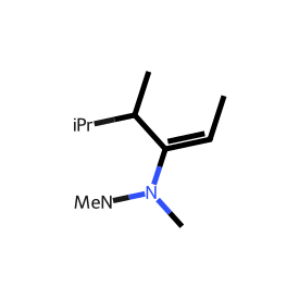 C/C=C(\C(C)C(C)C)N(C)NC